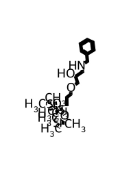 C[Si](C)(C)O[Si](C)(CCCOCC(O)CNCc1ccccc1)O[Si](C)(C)C